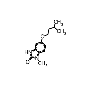 CC(C)CCOc1ccc2c(c1)[nH]c(=O)n2C